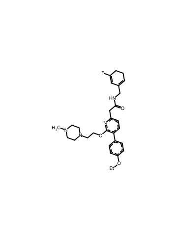 CCOc1ccc(-c2ccc(CC(=O)NCC3=CCCC(F)=C3)nc2OCCN2CCN(C)CC2)cc1